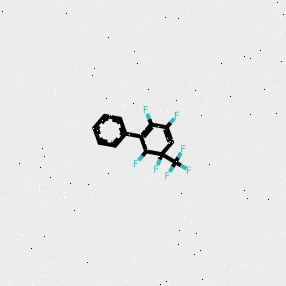 FC1=CC(F)(C(F)(F)F)C(F)C(c2ccccc2)=C1F